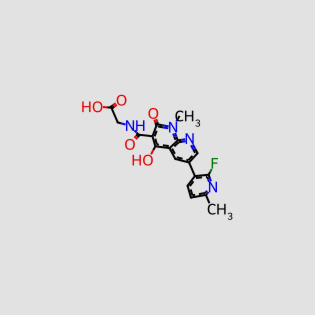 Cc1ccc(-c2cnc3c(c2)c(O)c(C(=O)NCC(=O)O)c(=O)n3C)c(F)n1